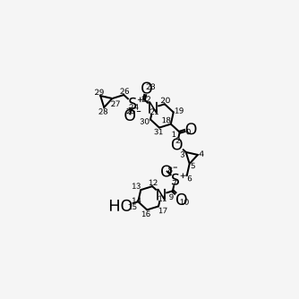 O=C(OC1CC1C[S+]([O-])C(=O)N1CCC(O)CC1)C1CCN(C(=O)[S+]([O-])CC2CC2)CC1